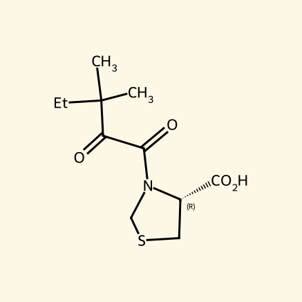 CCC(C)(C)C(=O)C(=O)N1CSC[C@H]1C(=O)O